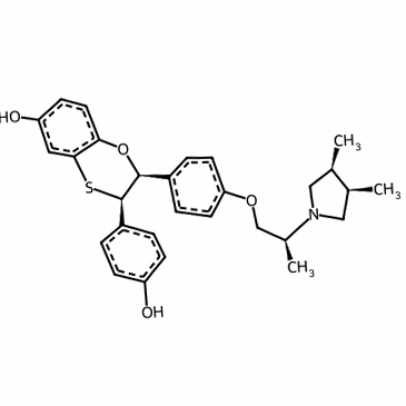 C[C@@H]1CN([C@@H](C)COc2ccc([C@@H]3Oc4ccc(O)cc4S[C@@H]3c3ccc(O)cc3)cc2)C[C@@H]1C